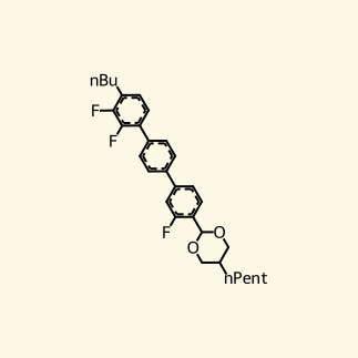 CCCCCC1COC(c2ccc(-c3ccc(-c4ccc(CCCC)c(F)c4F)cc3)cc2F)OC1